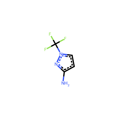 Nc1ccn(C(F)(F)F)n1